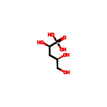 O=P(O)(O)[C@H](O)C[C@H](O)CO